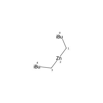 CCC(C)[CH2][Zn][CH2]C(C)CC